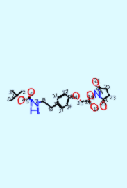 CC(C)(C)OC(=O)NCCc1ccc(OCC(=O)ON2C(=O)CCC2=O)cc1